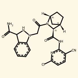 N#Cc1ccc(Cl)nc1NC(=O)[C@@H]1[C@H]2CC[C@H](C2)N1C(=O)CN1NC(C(N)=O)c2ccccc21